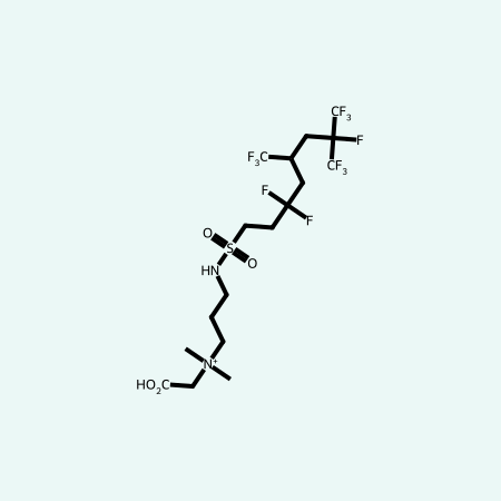 C[N+](C)(CCCNS(=O)(=O)CCC(F)(F)CC(CC(F)(C(F)(F)F)C(F)(F)F)C(F)(F)F)CC(=O)O